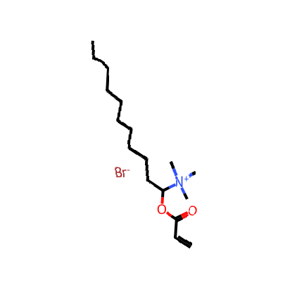 C=CC(=O)OC(CCCCCCCCCC)[N+](C)(C)C.[Br-]